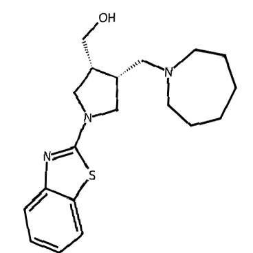 OC[C@H]1CN(c2nc3ccccc3s2)C[C@H]1CN1CCCCCC1